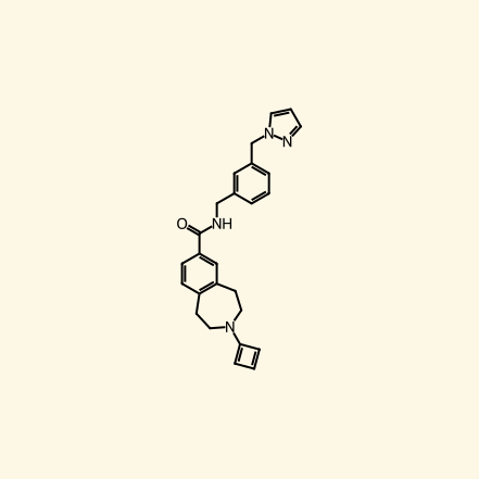 O=C(NCc1cccc(Cn2cccn2)c1)c1ccc2c(c1)CCN(C1=CC=C1)CC2